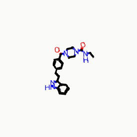 CCNC(=O)N1CCN(C(=O)c2ccc(C=Cc3n[nH]c4ccccc34)cc2)CC1